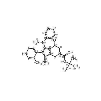 CC1=CNCC=C1c1c(N(N)c2ccccc2)c2c(n1N)CN(C(=O)OC(C)(C)C)CC2=O